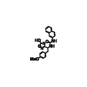 COc1ccc(CC(NC(=O)Nc2ccc3ccccc3c2)c2noc(O)n2)cc1